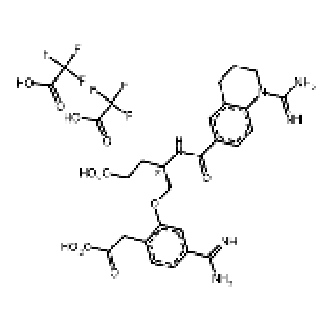 N=C(N)c1ccc(CC(=O)C(=O)O)c(OC[C@@H](CCC(=O)O)NC(=O)c2ccc3c(c2)CCCN3C(=N)N)c1.O=C(O)C(F)(F)F.O=C(O)C(F)(F)F